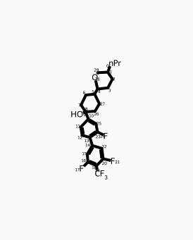 CCCC1CCC(C2CCC(O)(c3ccc(-c4cc(F)c(C(F)(F)F)c(F)c4)c(F)c3)CC2)OC1